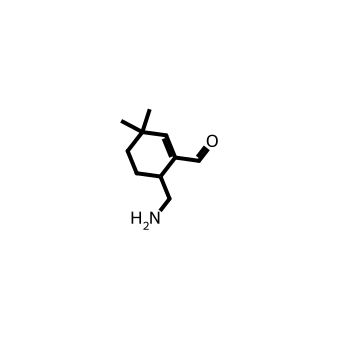 CC1(C)C=C(C=O)C(CN)CC1